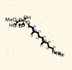 COP(=O)(O)OP(=O)(O)OC/C=C(\C)CC/C=C(\C)CCCN=[N+]=[N-]